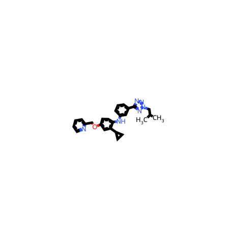 CC(C)Cn1nnc(-c2cccc(Nc3ccc(OCc4ccccn4)cc3C3CC3)c2)n1